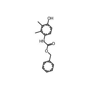 Cc1c(O)ccc(NC(=O)OCc2ccccc2)c1C